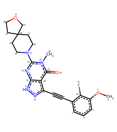 COc1cccc(C#Cc2n[nH]c3nc(N4CCC5(CCOC5)CC4)n(C)c(=O)c23)c1F